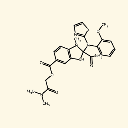 CN(C)C(=O)COC(=O)c1ccc2c(c1)NC(C(N)=O)(N(c1nccs1)c1ccccc1OC(F)(F)F)N2C